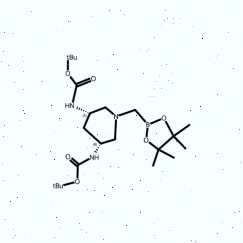 CC(C)(C)OC(=O)N[C@@H]1C[C@H](NC(=O)OC(C)(C)C)CN(CB2OC(C)(C)C(C)(C)O2)C1